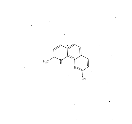 CC1C=Cc2ccc3ccc(C#N)nc3c2N1